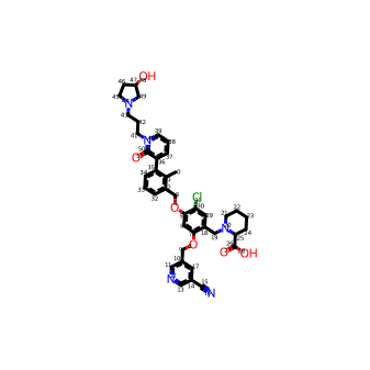 Cc1c(COc2cc(OCc3cncc(C#N)c3)c(CN3CCCCC3C(=O)O)cc2Cl)cccc1-c1cccn(CCCN2CCC(O)C2)c1=O